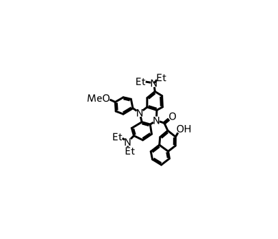 CCN(CC)c1ccc2c(c1)N(c1ccc(OC)cc1)c1cc(N(CC)CC)ccc1N2C(=O)c1cc2ccccc2cc1O